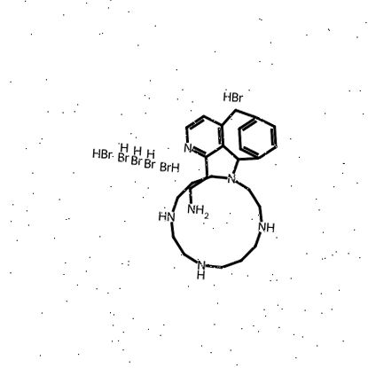 Br.Br.Br.Br.Br.Br.NCCc1nccc2c1C(N1CCCNCCNCCCNCC1)c1ccc(cc1)C2